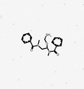 CN(CC(OC[SiH3])N(C)C(=O)c1ccccc1)C(=O)c1ccccc1